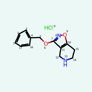 Cl.c1ccc(COc2noc3c2CNCC3)cc1